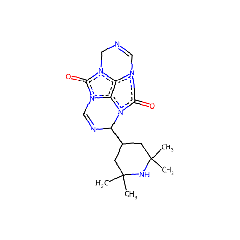 CC1(C)CC(C2N=Cn3c(=O)n4c5c3n2c(=O)n5C=NC4)CC(C)(C)N1